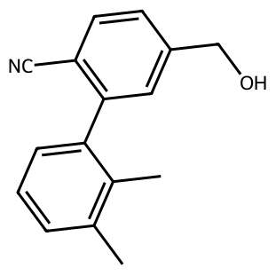 Cc1cccc(-c2cc(CO)ccc2C#N)c1C